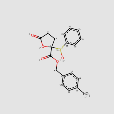 O=C1CCC(C(=O)OCc2ccc([N+](=O)[O-])cc2)([S+]([O-])c2ccccc2)O1